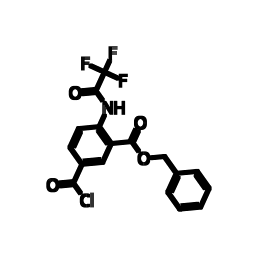 O=C(Cl)c1ccc(NC(=O)C(F)(F)F)c(C(=O)OCc2ccccc2)c1